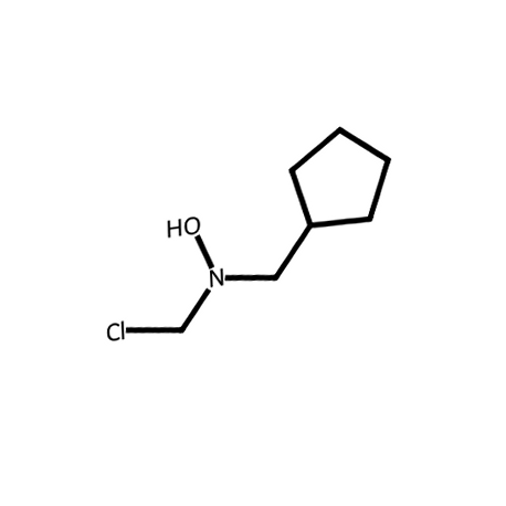 ON(CCl)CC1CCCC1